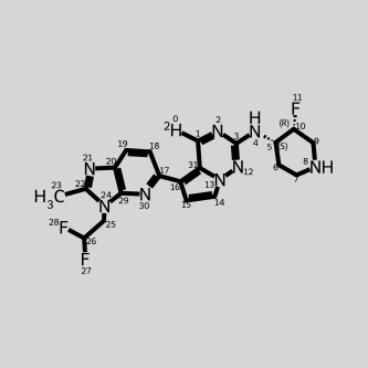 [2H]c1nc(N[C@H]2CCNC[C@H]2F)nn2ccc(-c3ccc4nc(C)n(CC(F)F)c4n3)c12